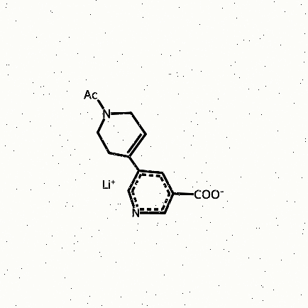 CC(=O)N1CC=C(c2cncc(C(=O)[O-])c2)CC1.[Li+]